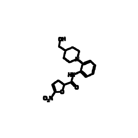 O=C(Nc1ccccc1N1CCC(CO)CC1)C1CC=C([N+](=O)[O-])O1